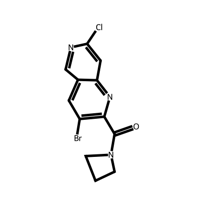 O=C(c1nc2cc(Cl)ncc2cc1Br)N1CCC1